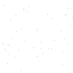 C=C(C)C(=O)O.C=C(C)C(=O)O.C=C(CC)C(=O)O